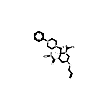 C=CCO[C@H]1C[C@H](C(=O)NO)[C@@](C)(C(=O)N2CCN(c3ccccc3)CC2)N(C(=O)O)C1